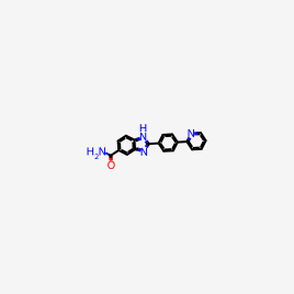 NC(=O)c1ccc2[nH]c(-c3ccc(-c4ccccn4)cc3)nc2c1